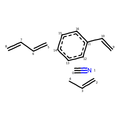 C#N.C=CC.C=CC=C.C=Cc1ccccc1